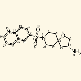 N[C@H]1COC2(CCN(S(=O)(=O)c3ccc4ncccc4c3)CC2)C1